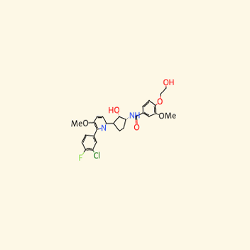 COc1cc(C(=O)N[C@@H]2CCC(c3ccc(OC)c(-c4ccc(F)c(Cl)c4)n3)[C@@H]2O)ccc1OCCO